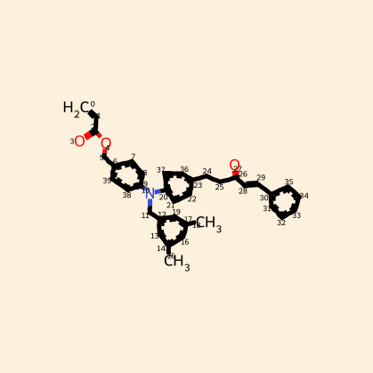 C=CC(=O)OCc1ccc(N(Cc2cc(C)cc(C)c2)c2ccc(CCC(=O)C=Cc3ccccc3)cc2)cc1